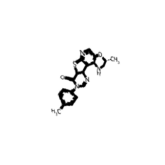 Cc1ccc(N2C=NC3c4c(ncc5c4NC[C@@H](C)O5)SC3C2=O)cc1